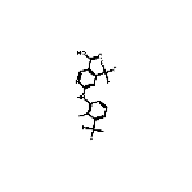 Cc1c(Nc2cc(C(F)(F)F)c(C(=O)O)cn2)cccc1C(F)(F)F